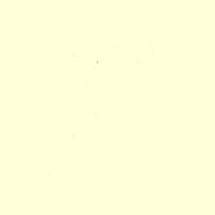 COC(=O)CNC(=O)c1ccc(-n2c(=O)n([C@H]3CCN(Cc4ncc(C(=O)O)n4C)C3)c3ncccc32)cn1